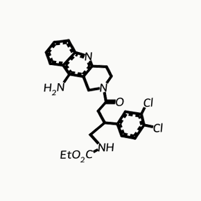 CCOC(=O)NCC(CC(=O)N1CCc2nc3ccccc3c(N)c2C1)c1ccc(Cl)c(Cl)c1